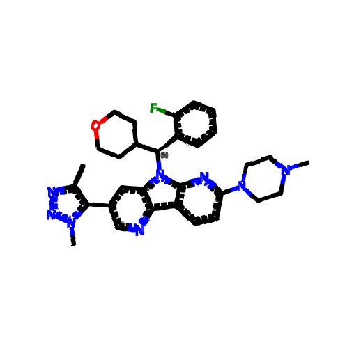 Cc1nnn(C)c1-c1cnc2c3ccc(N4CCN(C)CC4)nc3n([C@H](c3ccccc3F)C3CCOCC3)c2c1